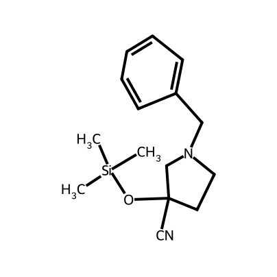 C[Si](C)(C)OC1(C#N)CCN(Cc2ccccc2)C1